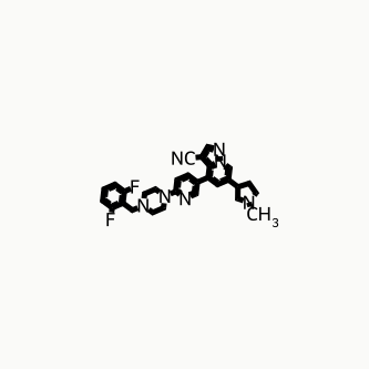 CN1CCC(c2cc(-c3ccc(N4CCN(Cc5c(F)cccc5F)CC4)nc3)c3c(C#N)cnn3c2)C1